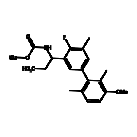 COc1ccc(C)c(-c2cc(C)c(F)c(C(CC(=O)O)NC(=O)OC(C)(C)C)c2)c1C